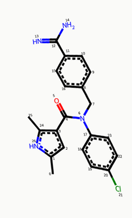 Cc1cc(C(=O)N(Cc2ccc(C(=N)N)cc2)c2ccc(Cl)cc2)c(C)[nH]1